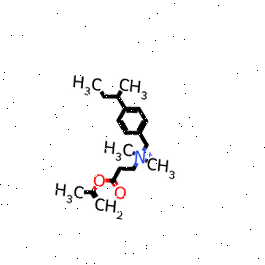 C=C(C)OC(=O)CC[N+](C)(C)Cc1ccc(C(C)CC)cc1